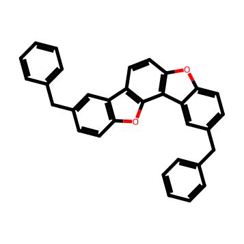 c1ccc(Cc2ccc3oc4c(ccc5oc6ccc(Cc7ccccc7)cc6c54)c3c2)cc1